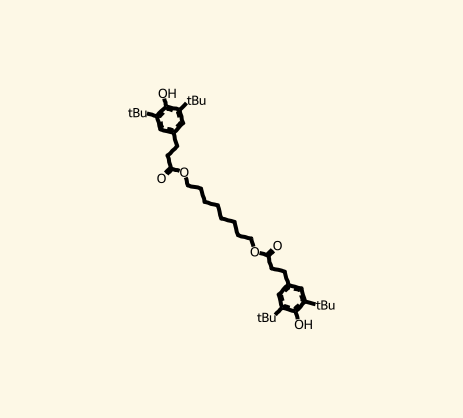 CC(C)(C)c1cc(CCC(=O)OCCCCCCCCOC(=O)CCc2cc(C(C)(C)C)c(O)c(C(C)(C)C)c2)cc(C(C)(C)C)c1O